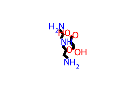 NCCCCNCCCN.O=C(O)C=CC(=O)O